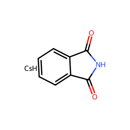 O=C1NC(=O)c2ccccc21.[CsH]